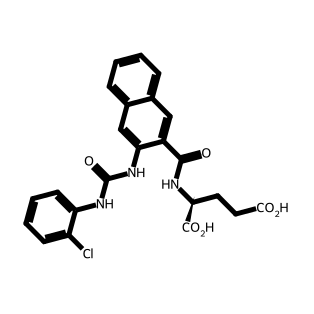 O=C(O)CC[C@H](NC(=O)c1cc2ccccc2cc1NC(=O)Nc1ccccc1Cl)C(=O)O